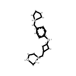 c1cc(OC2CC(CN3CCOCC3)C2)ccc1CN1CCCC1